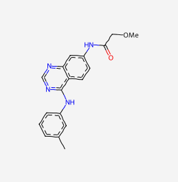 COCC(=O)Nc1ccc2c(Nc3cccc(C)c3)ncnc2c1